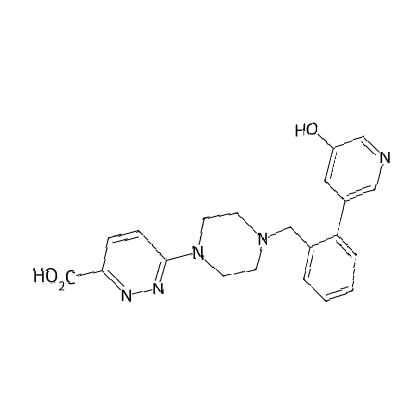 O=C(O)c1ccc(N2CCN(Cc3ccccc3-c3cncc(O)c3)CC2)nn1